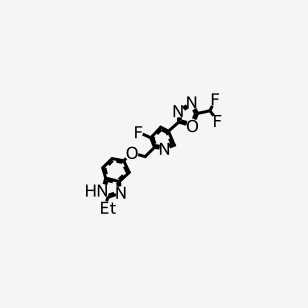 CCc1nc2cc(OCc3ncc(-c4nnc(C(F)F)o4)cc3F)ccc2[nH]1